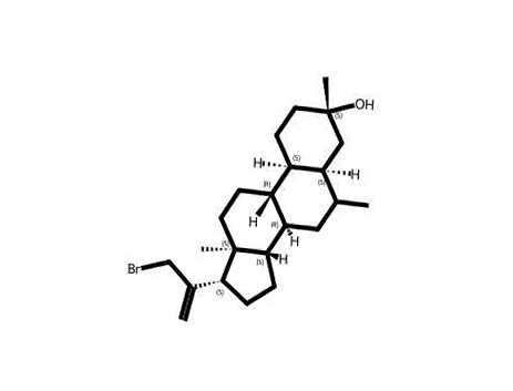 C=C(CBr)[C@H]1CC[C@H]2[C@@H]3CC(C)[C@@H]4C[C@@](C)(O)CC[C@@H]4[C@H]3CC[C@]12C